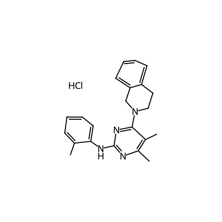 Cc1ccccc1Nc1nc(C)c(C)c(N2CCc3ccccc3C2)n1.Cl